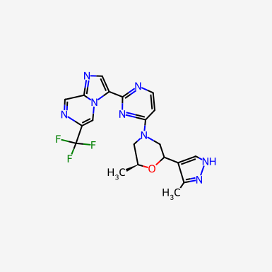 Cc1n[nH]cc1C1CN(c2ccnc(-c3cnc4cnc(C(F)(F)F)cn34)n2)C[C@H](C)O1